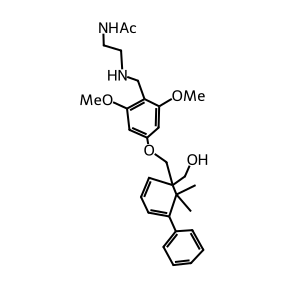 COc1cc(OCC2(CO)C=CC=C(c3ccccc3)C2(C)C)cc(OC)c1CNCCNC(C)=O